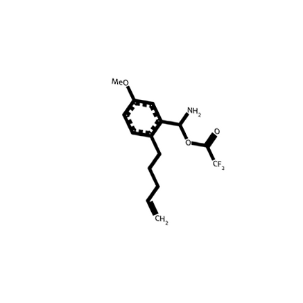 C=CCCCc1ccc(OC)cc1C(N)OC(=O)C(F)(F)F